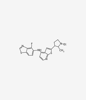 CCN1CCC(c2cc3c(Nc4ccc5scnc5c4F)ccnc3s2)C1C